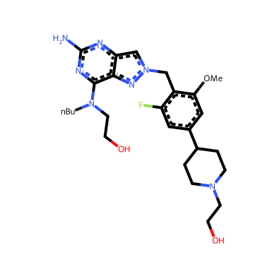 CCCCN(CCO)c1nc(N)nc2cn(Cc3c(F)cc(C4CCN(CCO)CC4)cc3OC)nc12